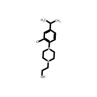 CC(C)c1ccc(N2CCN(CCO)CC2)c(Cl)c1